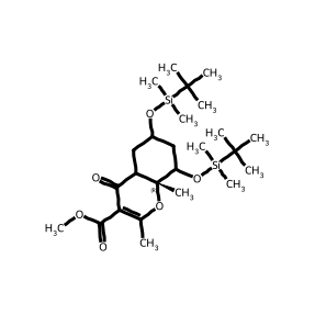 COC(=O)C1=C(C)O[C@@]2(C)C(O[Si](C)(C)C(C)(C)C)CC(O[Si](C)(C)C(C)(C)C)CC2C1=O